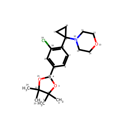 CC1(C)OB(c2ccc(C3(N4CCOCC4)CC3)c(Cl)c2)OC1(C)C